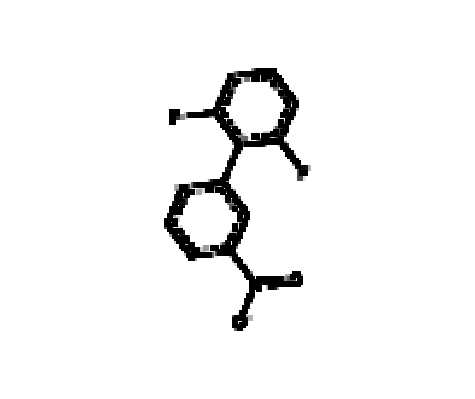 O=[N+]([O-])c1cc[c]c(-c2c(F)cccc2F)c1